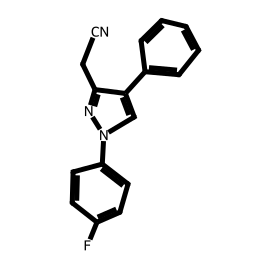 N#CCc1nn(-c2ccc(F)cc2)cc1-c1ccccc1